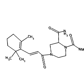 CNC(=O)N1CCN(C(=O)C=CC2=C(C)CCCC2(C)C)CC1C(N)=O